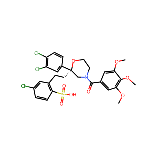 COc1cc(C(=O)N2CCO[C@](CCc3cc(Cl)ccc3S(=O)(=O)O)(c3ccc(Cl)c(Cl)c3)C2)cc(OC)c1OC